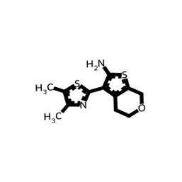 Cc1nc(-c2c(N)sc3c2CCOC3)sc1C